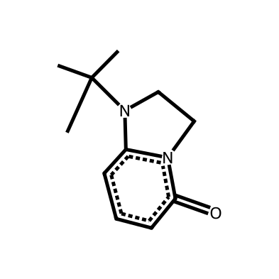 CC(C)(C)N1CCn2c1cccc2=O